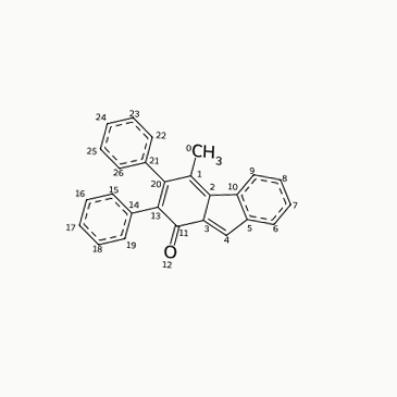 CC1=C2C(=Cc3ccccc32)C(=O)C(c2ccccc2)=C1c1ccccc1